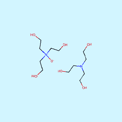 OCCN(CCO)CCO.[O-][N+](CCO)(CCO)CCO